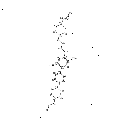 CCCC1CCC(c2ccc(-c3cc(F)c(CCCCC4CCC(COC)CC4)cc3F)cc2)CC1